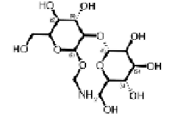 NCO[C@H]1OC(CO)[C@@H](O)[C@H](O)C1O[C@H]1OC(CO)[C@@H](O)[C@H](O)C1O